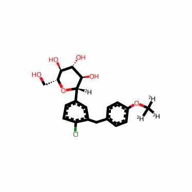 [2H]C([2H])([2H])Oc1ccc(Cc2cc([C@]3([2H])O[C@H](CO)[C@@H](O)[C@H](O)[C@H]3O)ccc2Cl)cc1